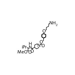 COC(=O)C(NC(=O)C1CCN(C(=O)OCc2ccc(OCCCCN)cc2)CC1)C(C)C